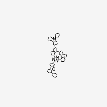 c1ccc(-c2nc(-c3ccc4c(c3)oc3c(-c5ccccc5)cccc34)nc(-c3cccc4oc5ccc(-c6cccc(-c7ccc8c(c7)c7ccccc7n8-c7ccccc7)c6)cc5c34)n2)cc1